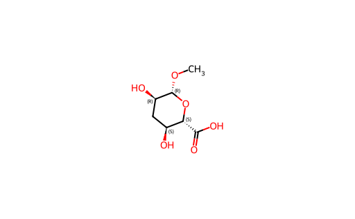 CO[C@@H]1O[C@H](C(=O)O)[C@@H](O)C[C@H]1O